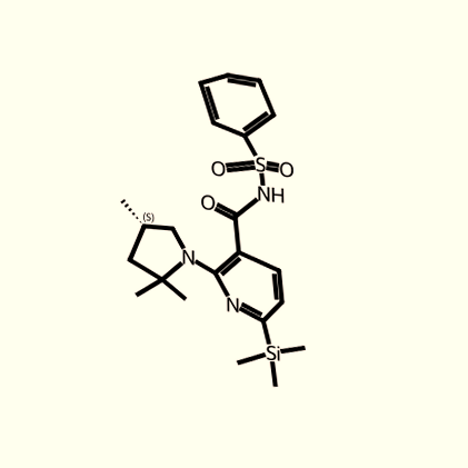 C[C@@H]1CN(c2nc([Si](C)(C)C)ccc2C(=O)NS(=O)(=O)c2ccccc2)C(C)(C)C1